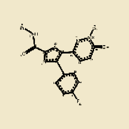 CC(C)NC(=O)c1nc(-c2ccc(F)cc2)c(-c2ccc(=O)n(C(C)C)n2)s1